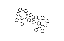 c1ccc(-c2cccc(N(c3ccc4c(c3)C(c3ccccc3)(c3ccccc3)c3cc(N(c5cccc(-c6ccccc6)c5)c5ccc6c(-c7ccccc7)c(-c7ccccc7)n(-c7ccccc7)c6c5)ccc3-4)c3ccc4c(-c5ccccc5)c(-c5ccccc5)n(-c5ccccc5)c4c3)c2)cc1